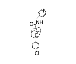 O=C(NCc1ccncc1)C12CC3CC4(c5ccc(Cl)cc5)CC(C1)C2(C3)C4